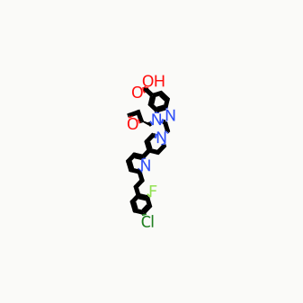 O=C(O)c1ccc2nc(CN3CC=C(c4cccc(CCc5ccc(Cl)cc5F)n4)CC3)n(C[C@@H]3CCO3)c2c1